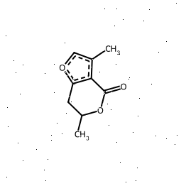 Cc1coc2c1C(=O)OC(C)C2